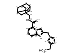 O=C(O)Cc1nnn(Cc2cn3c(C(=O)NCC45CC6CC(CC(C6)C4)C5)cccc3n2)n1